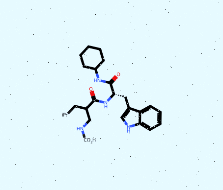 CC(C)CC(CNC(=O)O)C(=O)N[C@@H](Cc1c[nH]c2ccccc12)C(=O)NC1CCCCC1